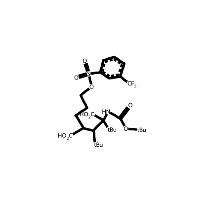 CC(C)(C)OC(=O)NC(C(=O)O)(C(C(CCCOS(=O)(=O)c1cccc(C(F)(F)F)c1)C(=O)O)C(C)(C)C)C(C)(C)C